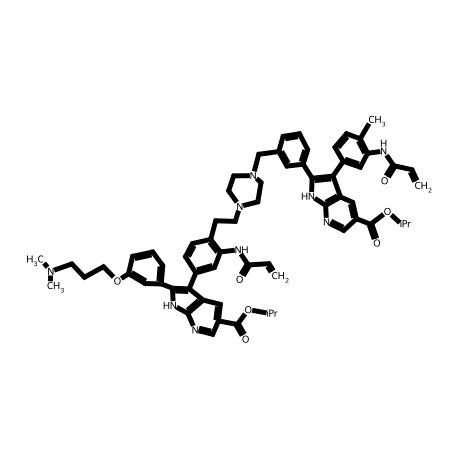 C=CC(=O)Nc1cc(-c2c(-c3cccc(CN4CCN(CCc5ccc(-c6c(-c7cccc(OCCCN(C)C)c7)[nH]c7ncc(C(=O)OC(C)C)cc67)cc5NC(=O)C=C)CC4)c3)[nH]c3ncc(C(=O)OC(C)C)cc23)ccc1C